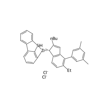 CCCCC1=Cc2c(ccc(CC)c2-c2cc(C)cc(C)c2)[CH]1[Zr+2]1[c]2cccc3c2[SiH]1c1ccccc1-3.[Cl-].[Cl-]